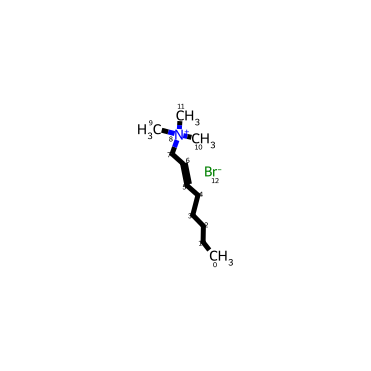 CCCCCC=CC[N+](C)(C)C.[Br-]